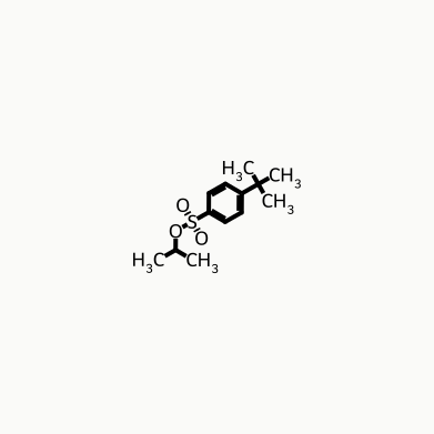 CC(C)OS(=O)(=O)c1ccc(C(C)(C)C)cc1